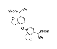 CCCCCCCCCC(CCC)c1ccc(Oc2ccc(C(CCC)CCCCCCCCC)c3c2CCO3)c2c1OCC2